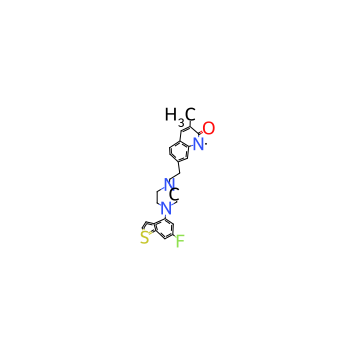 CC1=Cc2ccc(CCN3CCN(c4cc(F)cc5sccc45)CC3)cc2[N]C1=O